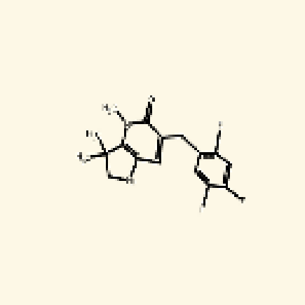 Cn1c2c(cc(Cc3cc(F)c(F)cc3F)c1=O)NCC2(C)C